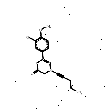 CCCC#CN1CC(=O)CC(c2ccc(OC)c(Cl)c2)=N1